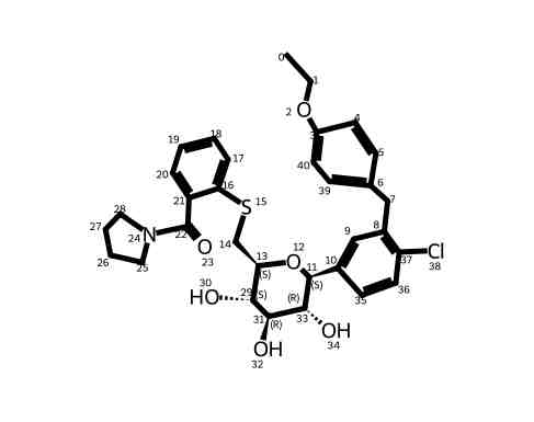 CCOc1ccc(Cc2cc([C@@H]3O[C@H](CSc4ccccc4C(=O)N4CCCC4)[C@@H](O)[C@H](O)[C@H]3O)ccc2Cl)cc1